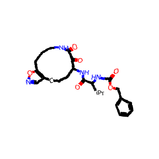 CC(C)C(NC(=O)OCc1ccccc1)C(=O)NC1CCCc2cnoc2CCCNC(=O)C1=O